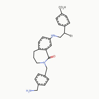 CCC(CNc1ccc2c(c1)C(=O)N(Cc1ccc(CN)cc1)CCC2)c1ccc(C(=O)O)cc1